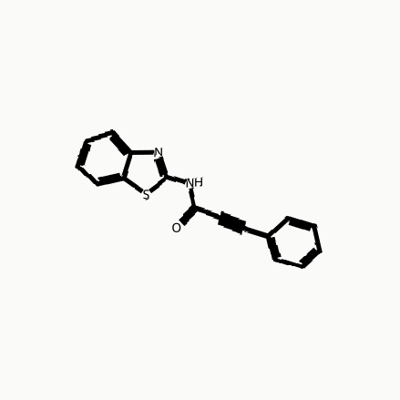 O=C(C#Cc1ccccc1)Nc1nc2ccccc2s1